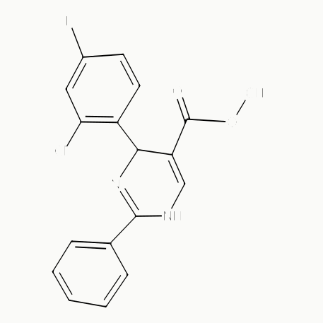 COC(=O)C1=CNC(c2ccccc2)=NC1c1ccc(F)cc1Cl